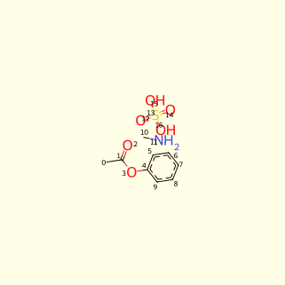 CC(=O)Oc1ccccc1.CN.O=S(=O)(O)O